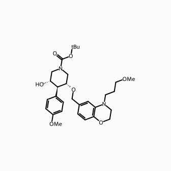 COCCCN1CCOc2ccc(CO[C@H]3CN(C(=O)OC(C)(C)C)C[C@@H](O)[C@@H]3c3ccc(OC)cc3)cc21